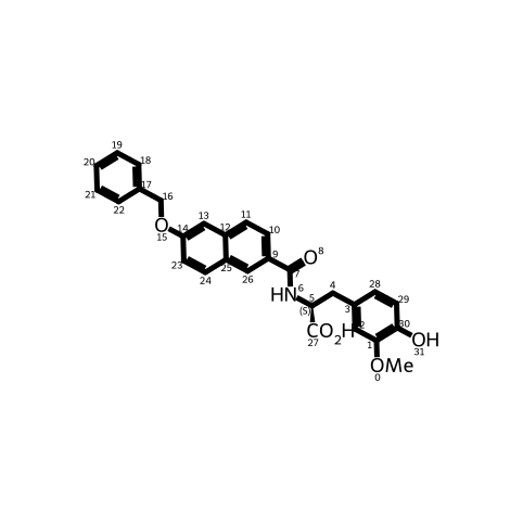 COc1cc(C[C@H](NC(=O)c2ccc3cc(OCc4ccccc4)ccc3c2)C(=O)O)ccc1O